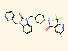 O=C(N[C@H]1CC[C@H](Cn2c(=O)n(Cc3cccnc3)c3ccccc32)CC1)c1cc(Cl)cnc1C(F)(F)F